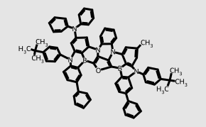 Cc1cc2c3c(c1)N1c4ccccc4N4c5cc(N(c6ccccc6)c6ccccc6)cc6c5B(c5cc(-c7ccccc7)ccc5N6c5ccc(C(C)(C)C)cc5)c5oc(c1c54)B3c1ccc(-c3ccccc3)cc1N2c1ccc(C(C)(C)C)cc1